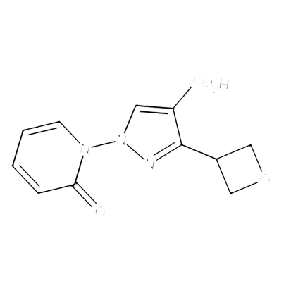 O=C(O)c1cn(-n2ccccc2=O)nc1C1COC1